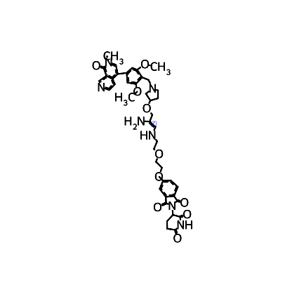 COc1cc(-c2cn(C)c(=O)c3cnccc23)cc(OC)c1CN1CCC(OC/C(N)=C/NCCOCCOc2ccc3c(c2)C(=O)N(C2CCC(=O)NC2=O)C3=O)C1